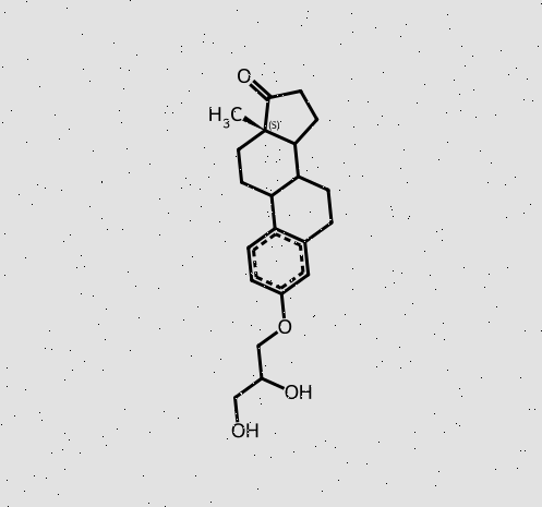 C[C@]12CCC3c4ccc(OCC(O)CO)cc4CCC3C1CCC2=O